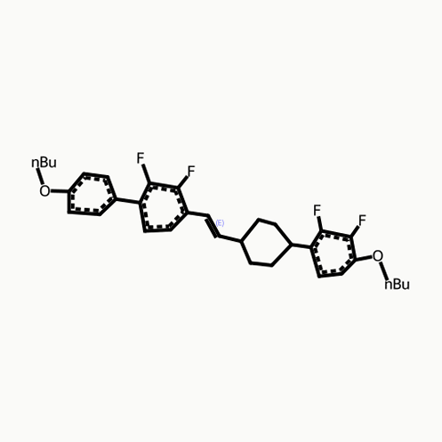 CCCCOc1ccc(-c2ccc(/C=C/C3CCC(c4ccc(OCCCC)c(F)c4F)CC3)c(F)c2F)cc1